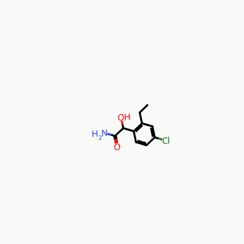 CCc1cc(Cl)ccc1C(O)C(N)=O